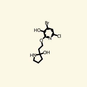 Oc1c(Br)cc(Cl)nc1OCCC1(O)CCCN1